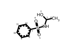 CC(O)NS(=O)(=O)c1[c]cccc1